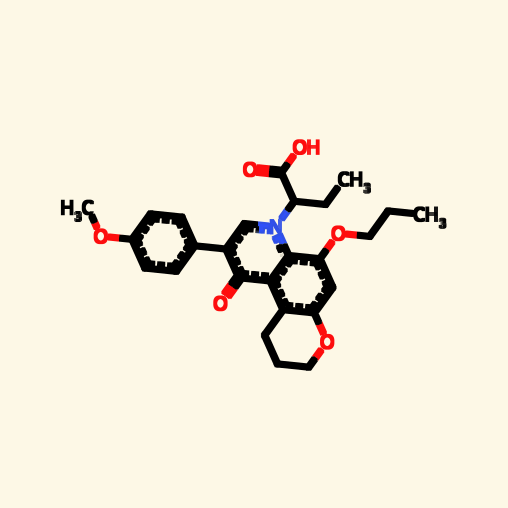 CCCOc1cc2c(c3c(=O)c(-c4ccc(OC)cc4)cn(C(CC)C(=O)O)c13)CCCO2